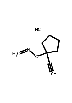 C#CC1(ON=C)CCCC1.Cl